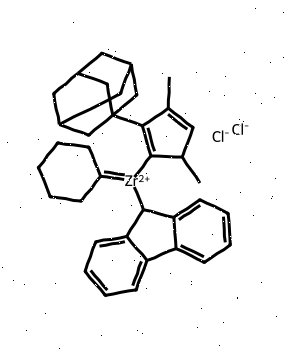 CC1=CC(C)[C]([Zr+2](=[C]2CCCCC2)[CH]2c3ccccc3-c3ccccc32)=C1C12CC3CC(CC(C3)C1)C2.[Cl-].[Cl-]